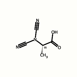 C[C@@H](C(=O)O)N(C#N)C#N